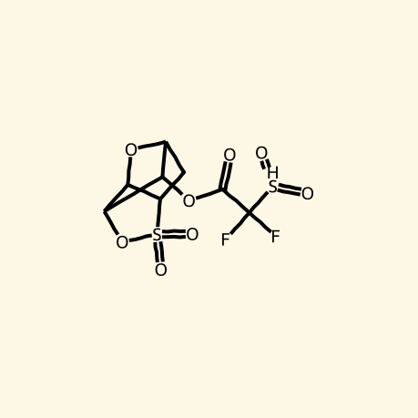 O=C(OC1C2CC3C(O2)C1OS3(=O)=O)C(F)(F)[SH](=O)=O